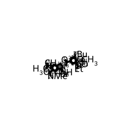 Br.CCOc1cc(C(=O)CN2Cc3cc(N(C)C)c(C(=O)NC)cc3C2=N)cc(C(C)(C)C)c1OS(C)(=O)=O